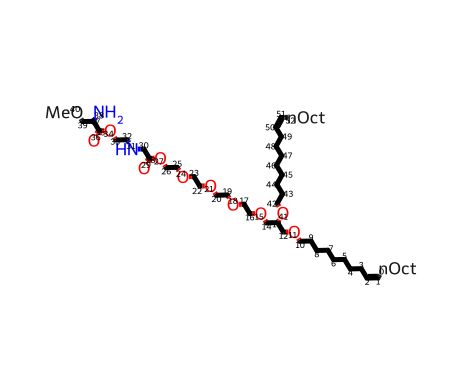 CCCCCCCC/C=C\CCCCCCCCOCC(COCCOCCOCCOCCOC(=O)CNCCOC(=O)C(N)COC)OCCCCCCCC/C=C\CCCCCCCC